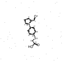 O=Cc1cccn1-c1ccc(SCC(=O)O)cc1